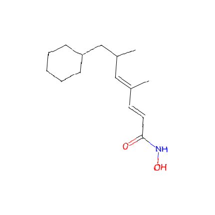 CC(/C=C/C(=O)NO)=C\C(C)CC1CCCCC1